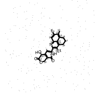 CCc1c(-c2cc3c(c(=O)[nH]2)COC(=O)[C@H]3O)nc2cc(F)c(C)c3c2c1CCC3